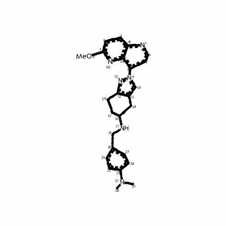 COc1ccc2nccc(-n3cc4c(n3)CCC(NCc3ccc(N(C)C)cc3)C4)c2n1